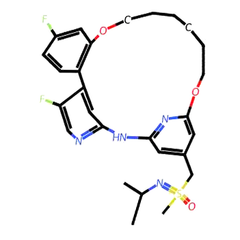 CC(C)N=S(C)(=O)Cc1cc2nc(c1)OCCCCCCOc1cc(F)ccc1-c1cc(ncc1F)N2